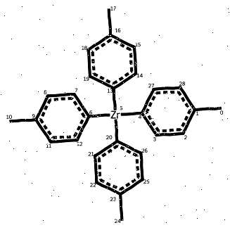 Cc1cc[c]([Zr]([c]2ccc(C)cc2)([c]2ccc(C)cc2)[c]2ccc(C)cc2)cc1